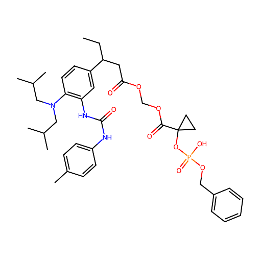 CCC(CC(=O)OCOC(=O)C1(OP(=O)(O)OCc2ccccc2)CC1)c1ccc(N(CC(C)C)CC(C)C)c(NC(=O)Nc2ccc(C)cc2)c1